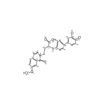 COc1ccc2nnn(CCC(Sc3ccc(-c4ccc(Cl)c(Cl)c4)cc3)C(=O)O)c(=O)c2c1